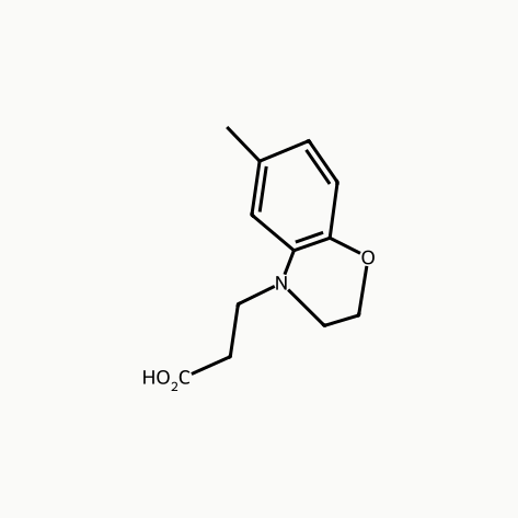 Cc1ccc2c(c1)N(CCC(=O)O)CCO2